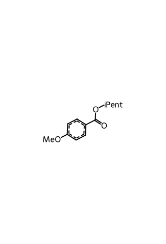 CCCC(C)OC(=O)c1ccc(OC)cc1